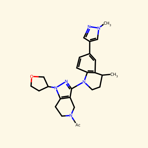 CC(=O)N1CCc2c(c(N3CCC(C)c4cc(-c5cnn(C)c5)ccc43)nn2C2CCOC2)C1